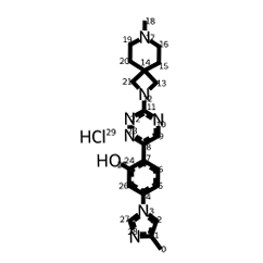 Cc1cn(-c2ccc(-c3cnc(N4CC5(CCN(C)CC5)C4)nn3)c(O)c2)cn1.Cl